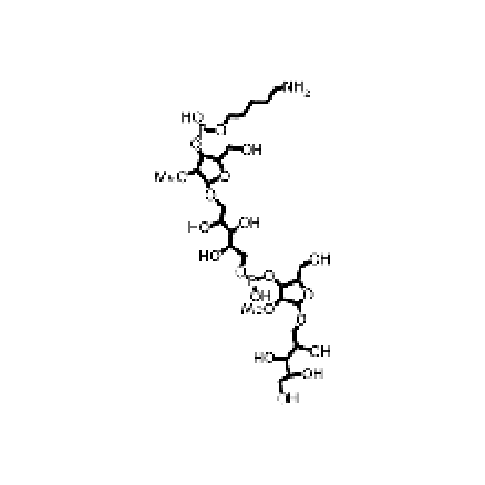 COC1C(OCC(O)C(O)C(O)COP(O)OC2C(CO)OC(OCC(O)C(O)C(O)CO)C2OC)OC(CO)C1OP(O)OCCCCCN